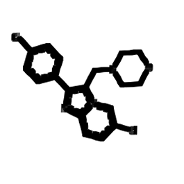 Clc1ccc(-c2nc3ccc(Cl)cn3c2CN2CCOCC2)cc1